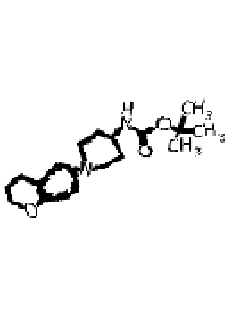 CC(C)(C)OC(=O)NC1CCN(c2ccc3c(c2)CCCO3)CC1